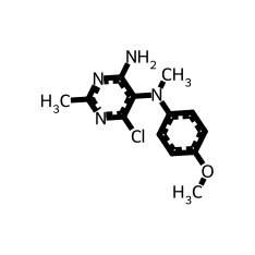 COc1ccc(N(C)c2c(N)nc(C)nc2Cl)cc1